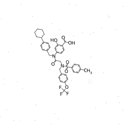 Cc1ccc(S(=O)(=O)N(CC(=O)N(Cc2ccc(C3CCCCC3)cc2)c2ccc(C(=O)O)c(O)c2)Cc2ccc(OC(F)(F)F)cc2)cc1